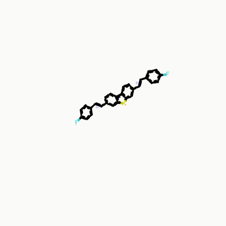 Fc1ccc(/C=C/c2ccc3c(c2)sc2cc(/C=C/c4ccc(F)cc4)ccc23)cc1